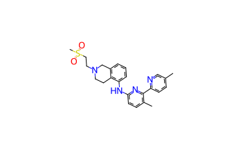 Cc1ccc(-c2nc(Nc3cccc4c3CCN(CCS(C)(=O)=O)C4)ccc2C)nc1